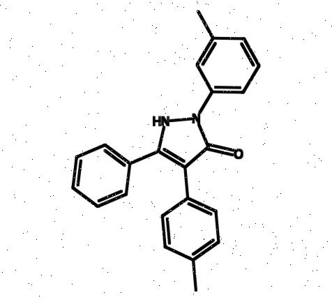 Cc1ccc(-c2c(-c3ccccc3)[nH]n(-c3cccc(C)c3)c2=O)cc1